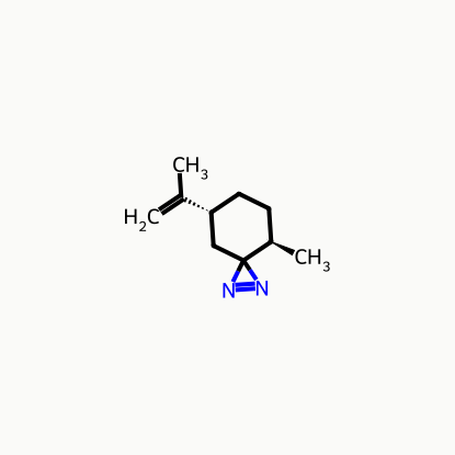 C=C(C)[C@@H]1CC[C@@H](C)C2(C1)N=N2